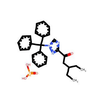 CCC(CC)CC(=O)c1ncn(C(c2ccccc2)(c2ccccc2)c2ccccc2)n1.O=[PH](O)O